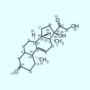 C[C@]12CC=C3[C@@H](CCC4CC(=O)CC[C@]34C)[C@@H]1CC[C@]2(O)C(=O)CO